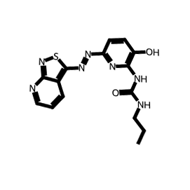 CCCNC(=O)Nc1nc(/N=N/c2snc3ncccc23)ccc1O